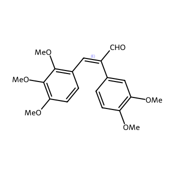 COc1ccc(/C(C=O)=C\c2ccc(OC)c(OC)c2OC)cc1OC